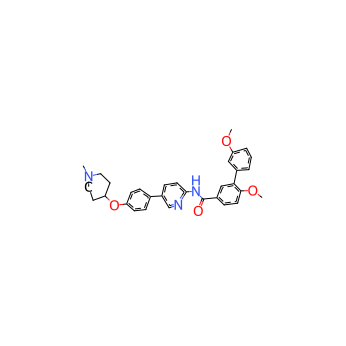 COc1cccc(-c2cc(C(=O)Nc3ccc(-c4ccc(OC5CCN(C)CC5)cc4)cn3)ccc2OC)c1